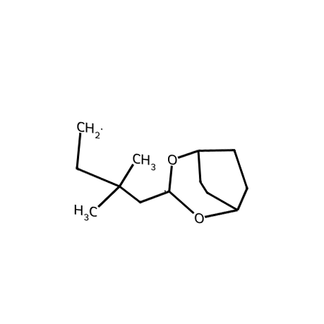 [CH2]CC(C)(C)C[C]1OC2CCC(CC2)O1